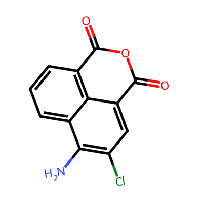 Nc1c(Cl)cc2c3c(cccc13)C(=O)OC2=O